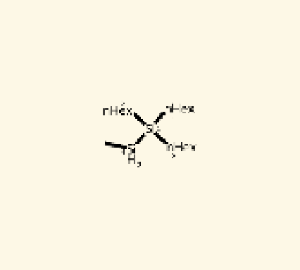 CCCCCC[Si](CCCCCC)(CCCCCC)[SiH2]C